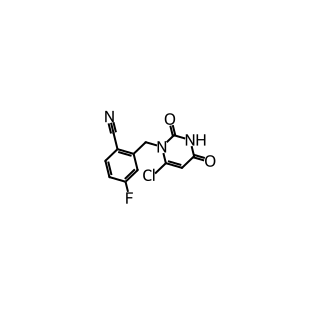 N#Cc1ccc(F)cc1Cn1c(Cl)cc(=O)[nH]c1=O